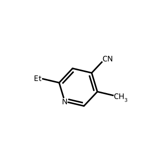 CCc1cc(C#N)c(C)cn1